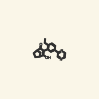 CCc1ccc(-c2cnccn2)cc1C1=C(O)C2CCC(C2)C1=O